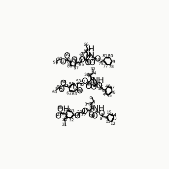 CC[C@H](C)[C@H](NC(=O)OCc1ccccc1)C(=O)OCCOc1ccc(C(=O)O)c(CI)c1.CC[C@H](C)[C@H](NC(=O)OCc1ccccc1)C(=O)OCCn1cc(C(=O)OCI)ccc1=O.CC[C@H](C)[C@H](NC(=O)OCc1ccccc1)C(=O)OCc1ccc(C(=O)OCI)o1